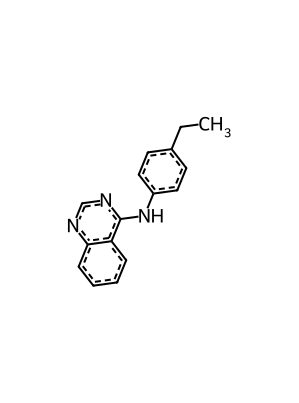 CCc1ccc(Nc2ncnc3ccccc23)cc1